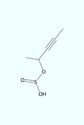 CC#CC(C)OS(=O)O